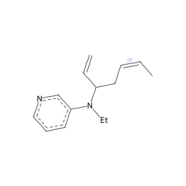 C=CC(C/C=C\C)N(CC)c1cccnc1